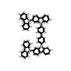 C1=Cc2c(n(-c3ccc(-c4ccc(-n5c6ccccc6c6ccc(-n7c8ccccc8c8ccccc87)cc65)cc4)cc3)c3cc(-n4c5ccccc5c5ccccc54)ccc23)CC1